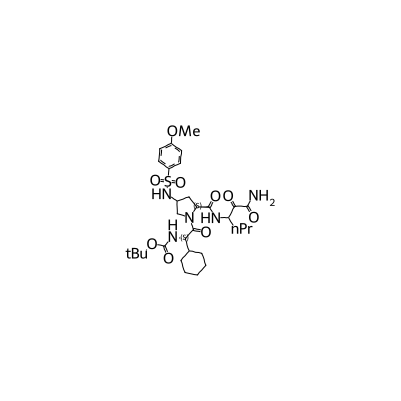 CCCC(NC(=O)[C@@H]1CC(NS(=O)(=O)c2ccc(OC)cc2)CN1C(=O)[C@@H](NC(=O)OC(C)(C)C)C1CCCCC1)C(=O)C(N)=O